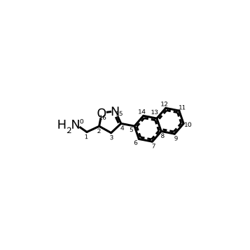 NCC1CC(c2ccc3ccccc3c2)=NO1